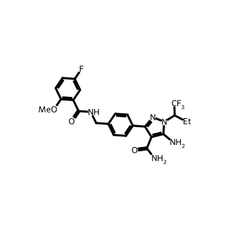 CCC(n1nc(-c2ccc(CNC(=O)c3cc(F)ccc3OC)cc2)c(C(N)=O)c1N)C(F)(F)F